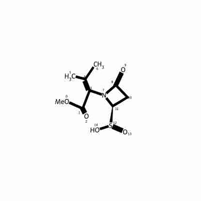 COC(=O)C(=C(C)C)N1C(=O)C[C@H]1S(=O)O